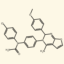 COc1ccc(C2N=c3occc3=C(N)N2c2ccc(N(C(N)=O)c3ccc(Cl)cc3)cc2)cc1